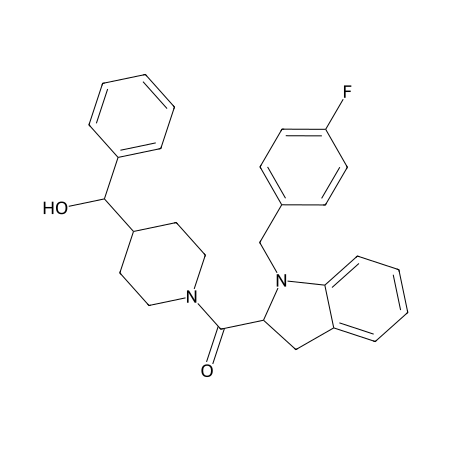 O=C(C1Cc2ccccc2N1Cc1ccc(F)cc1)N1CCC(C(O)c2ccccc2)CC1